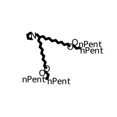 CCCCCC(CCCCC)CC(=O)OCCCCCCCCCC(CCCCCCCCCOC(=O)CC(CCCCC)CCCCC)CN1CCCC1